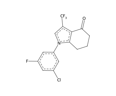 O=C1CCCc2c1c(C(F)(F)F)cn2-c1cc(F)cc(Cl)c1